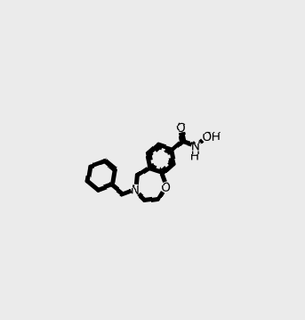 O=C(NO)c1ccc2c(c1)OCCN(CC1CCCCC1)C2